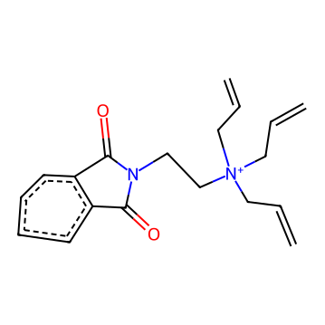 C=CC[N+](CC=C)(CC=C)CCN1C(=O)c2ccccc2C1=O